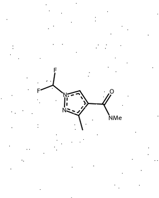 CNC(=O)c1cn(C(F)F)nc1C